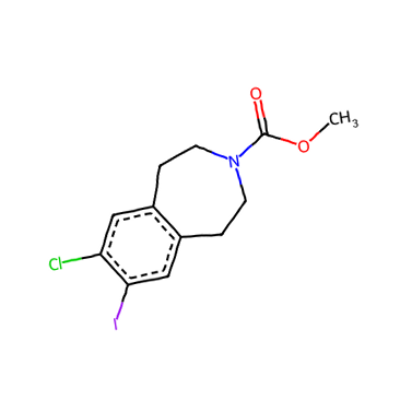 COC(=O)N1CCc2cc(Cl)c(I)cc2CC1